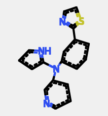 c1cncc(N(c2cccc(-c3nccs3)c2)c2ccc[nH]2)c1